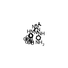 CC(C)n1cnc2c(Nc3ccc(C(O)(P=O)P(=O)(O)O)cc3)nc(NC3CCC(N)CC3)nc21